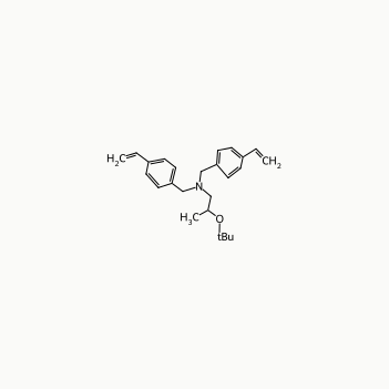 C=Cc1ccc(CN(Cc2ccc(C=C)cc2)CC(C)OC(C)(C)C)cc1